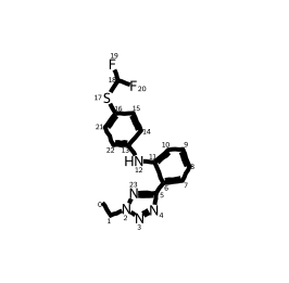 CCn1nnc(-c2ccccc2Nc2ccc(SC(F)F)cc2)n1